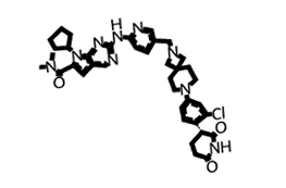 CN(C)C(=O)c1cc2cnc(Nc3ccc(CN4CC5(CCN(c6ccc([C@H]7CCC(=O)NC7=O)c(Cl)c6)CC5)C4)cn3)nc2n1C1CCCC1